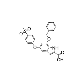 CS(=O)(=O)c1ccc(Oc2cc(OCc3ccccc3)c3[nH]c(C(=O)O)cc3c2)cc1